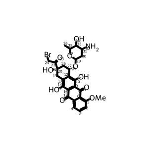 COc1cccc2c1C(=O)c1c(O)c3c(c(O)c1C2=O)C[C@@](O)(C(=O)CBr)C[C@@H]3OC1CC(N)C(O)C(C)O1